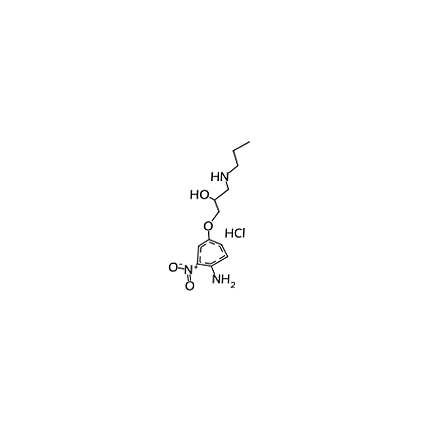 CCCNCC(O)COc1ccc(N)c([N+](=O)[O-])c1.Cl